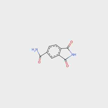 NC(=O)c1ccc2c(c1)C(=O)NC2=O